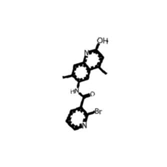 Cc1cc2nc(O)cc(C)c2cc1NC(=O)c1cccnc1Br